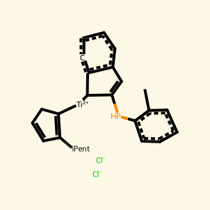 CCCC(C)C1=[C]([Ti+2][CH]2C(Pc3ccccc3C)=Cc3ccccc32)CC=C1.[Cl-].[Cl-]